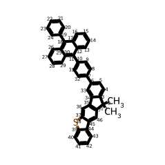 CC1(C)c2ccc(-c3ccc(-c4c5ccccc5c(-c5ccccc5)c5ccccc45)cc3)cc2-c2cc3sc4ccccc4c3cc21